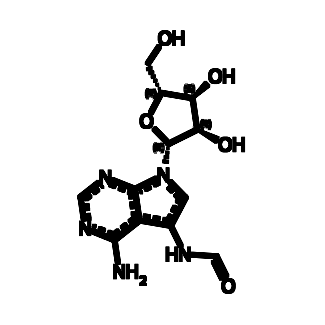 Nc1ncnc2c1c(NC=O)cn2[C@@H]1O[C@H](CO)[C@@H](O)[C@H]1O